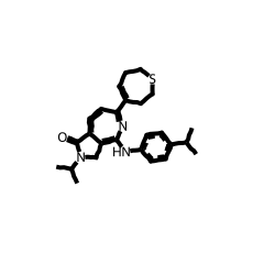 CC(C)c1ccc(NC2=C3CN(C(C)C)C(=O)C3=C=CC(C3=CCCSCC3)=N2)cc1